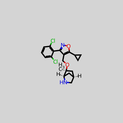 C[C@]1(OCc2c(-c3c(Cl)cccc3Cl)noc2C2CC2)C[C@H]2CN[C@@H]1C2